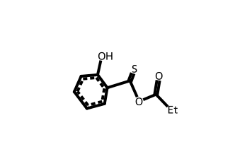 CCC(=O)OC(=S)c1ccccc1O